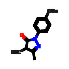 COc1ccc(N2N=C(C)C(C=O)C2=O)cc1